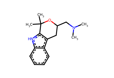 CN(C)CC1Cc2c([nH]c3ccccc23)C(C)(C)O1